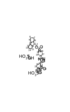 O=C(OCC1c2ccccc2-c2ccccc21)N1CCC(c2noc([C@@H]3CC[C@@H]4CN3C(=O)N4OS(=O)(=O)O)n2)CC1.O=S(=O)(O)O